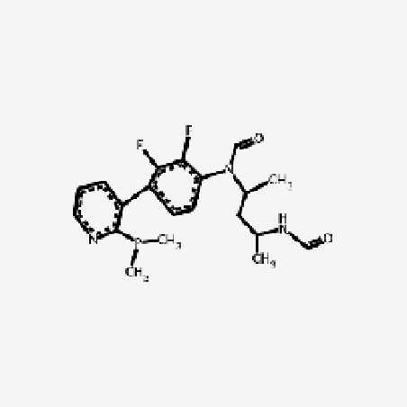 CC(CC(C)N(C=O)c1ccc(-c2cccnc2P(C)C)c(F)c1F)NC=O